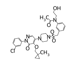 CC(=O)N(CCO)c1cccc(CS(=O)(=O)N2CCN(c3cnn(-c4cccc(Cl)c4)c(=O)c3OCC3(C)CC3)CC2)c1